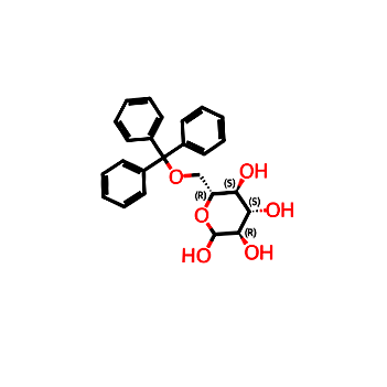 OC1O[C@H](COC(c2ccccc2)(c2ccccc2)c2ccccc2)[C@@H](O)[C@H](O)[C@H]1O